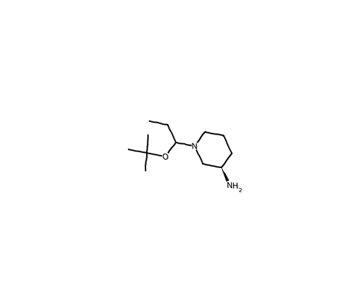 CCC(OC(C)(C)C)N1CCC[C@@H](N)C1